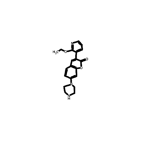 CCOc1ncccc1-c1cc2ccc(N3CCNCC3)cc2oc1=O